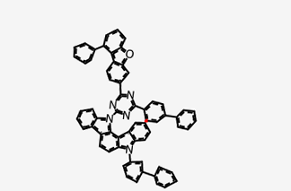 c1ccc(-c2ccc(-c3nc(-c4ccc5c(c4)oc4cccc(-c6ccccc6)c45)nc(-n4c5ccccc5c5ccc6c(c7ccccc7n6-c6cccc(-c7ccccc7)c6)c54)n3)cc2)cc1